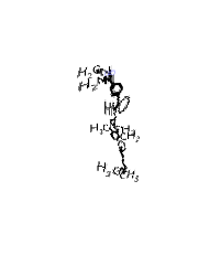 C=C/N=C\N(N)c1ccc(C(=O)NCC2CN(C(C)c3ccc(OCCCCN(C)C)c(C)c3C)C2)cc1